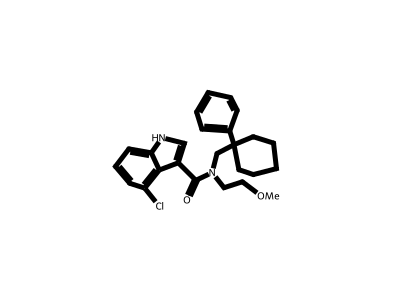 COCCN(CC1(c2ccccc2)CCCCC1)C(=O)c1c[nH]c2cccc(Cl)c12